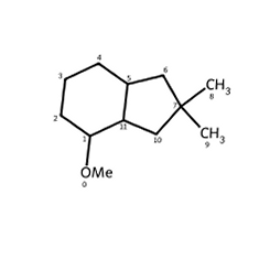 COC1CCCC2CC(C)(C)CC21